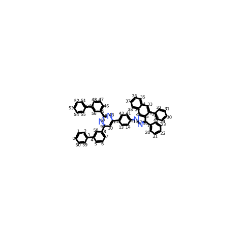 c1ccc(-c2cccc(-c3cc(-c4ccc(-n5nc(-c6ccccc6)c6c(-c7ccccc7)cc7ccccc7c65)cc4)nc(-c4cccc(-c5ccccc5)c4)n3)c2)cc1